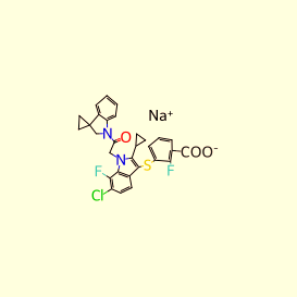 O=C([O-])c1cccc(Sc2c(C3CC3)n(CC(=O)N3CC4(CC4)c4ccccc43)c3c(F)c(Cl)ccc23)c1F.[Na+]